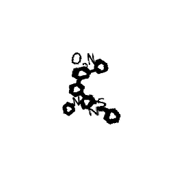 O=[N+]([O-])c1ccccc1-c1cccc(-c2ccc3c(c2)c2cc4sc(-c5ccccc5)nc4cc2n3-c2ccccc2)c1